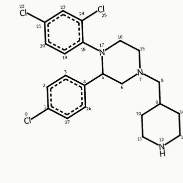 Clc1ccc(C2CN(CC3CCNCC3)CCN2c2ccc(Cl)cc2Cl)cc1